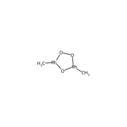 [CH3][Rh]1[O][O][Rh]([CH3])[O]1